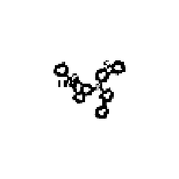 c1ccc(-c2cccc(N(c3cc4c5c(cccc5c3)C3=C4OC(c4ccccc4)N3)c3ccc4sc5ccccc5c4c3)c2)cc1